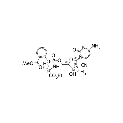 CCOC(=O)[C@H](C)NP(=O)(OC[C@H]1O[C@@H](n2ccc(N)nc2=O)[C@](C)(C#N)[C@@H]1O)Oc1ccccc1C(=O)OC